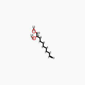 C=CCCCCCCCC(COC)OC